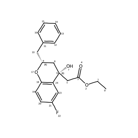 CCOC(=O)C[C@]1(O)C[C@@H](Cc2ccccc2)Oc2ccc(F)cc21